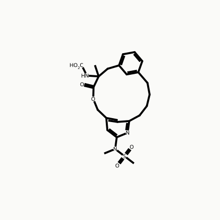 CN(c1cc2cc(n1)CCCCc1cccc(c1)CC(C)(NC(=O)O)C(=O)OC2)S(C)(=O)=O